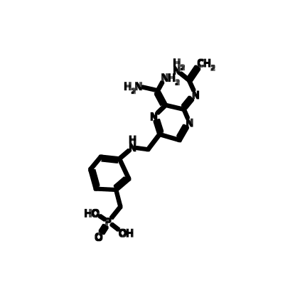 C=C(N)/N=C1/N=CC(CNc2cccc(CP(=O)(O)O)c2)=NC1=C(N)N